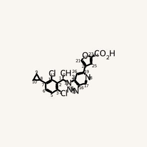 C[C@H](c1c(Cl)ccc(C2CC2)c1Cl)n1nnc2cnc(-c3coc(C(=O)O)c3)cc21